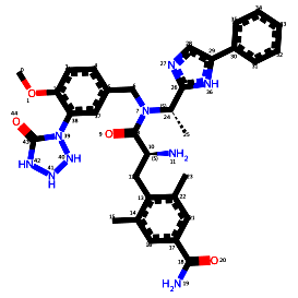 COc1ccc(CN(C(=O)[C@@H](N)Cc2c(C)cc(C(N)=O)cc2C)[C@@H](C)c2ncc(-c3ccccc3)[nH]2)cc1N1NNNC1=O